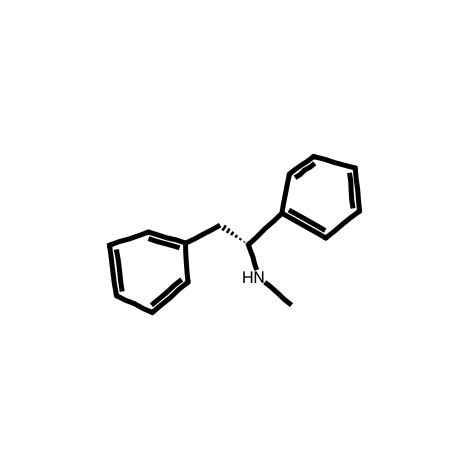 CN[C@H](Cc1ccccc1)c1ccccc1